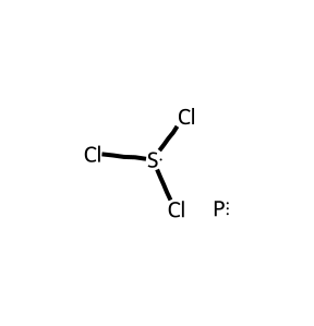 Cl[S](Cl)Cl.[P]